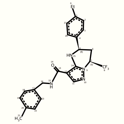 CCc1ccc([C@H]2C[C@@H](C(F)(F)F)n3ncc(C(=O)NCc4ccc(C)cc4)c3N2)cc1